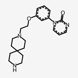 O=c1ncccn1-c1cccc(OCCN2CCC3(CCNCC3)CC2)c1